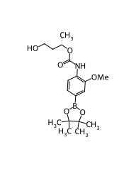 COc1cc(B2OC(C)(C)C(C)(C)O2)ccc1NC(=O)O[C@@H](C)CCO